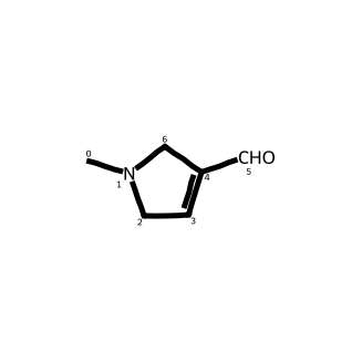 CN1CC=C(C=O)C1